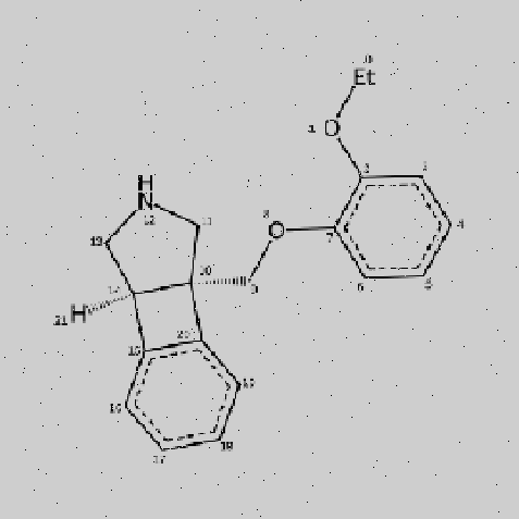 CCOc1ccccc1OC[C@@]12CNC[C@@H]1c1ccccc12